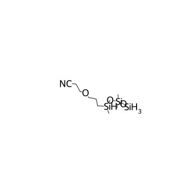 C[SiH](CCCOCCC#N)O[Si](C)(C)O[SiH3]